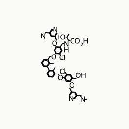 C/N=C\c1cncc(COc2cc(OCc3cccc(-c4cccc(COc5cc(OCc6cncc(/C=N/C)c6)c(CO)cc5Cl)c4C)c3C)c(Cl)cc2CNC(C(=O)O)C(C)O)c1